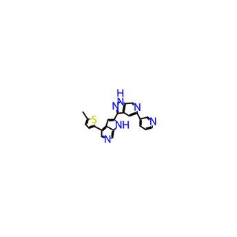 Cc1ccc(-c2cncc3[nH]c(-c4n[nH]c5cnc(-c6cccnc6)cc45)cc23)s1